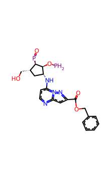 O=P[C@@H]1[C@@H](CO)C[C@@H](Nc2ccnc3cc(C(=O)OCc4ccccc4)nn23)[C@@H]1OP